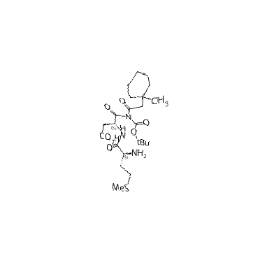 CSCC[C@H](N)C(=O)N[C@@H](CC(=O)O)C(=O)N(C(=O)CC1(C)CCCCC1)C(=O)OC(C)(C)C